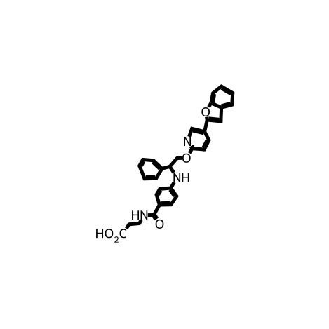 O=C(O)CCNC(=O)c1ccc(NC(COc2ccc(-c3cc4ccccc4o3)cn2)c2ccccc2)cc1